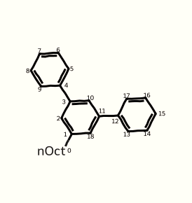 CCCCCCCCc1cc(-c2ccccc2)cc(-c2ccccc2)c1